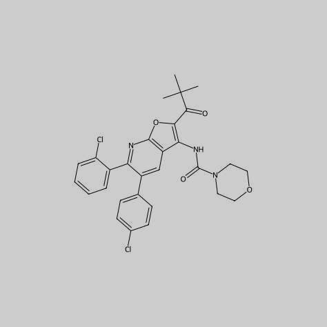 CC(C)(C)C(=O)c1oc2nc(-c3ccccc3Cl)c(-c3ccc(Cl)cc3)cc2c1NC(=O)N1CCOCC1